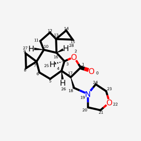 O=C1O[C@H]2[C@@H](CCC3(CC3)[C@@H]3CCC4(CC4)[C@H]23)[C@@H]1CN1CCOCC1